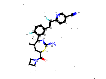 CC1C[C@H](C(=O)N2CCC2)SC(N)=N[C@]1(C)c1cc(/C=C(\F)c2ccc(C#N)cn2)ccc1F